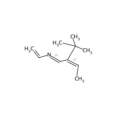 C=C/N=C/C(=C\C)C(C)(C)C